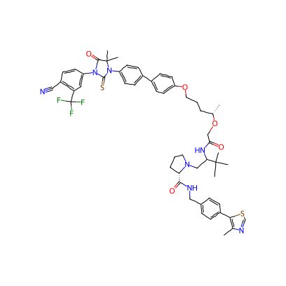 Cc1ncsc1-c1ccc(CNC(=O)[C@@H]2CCCN2CC(NC(=O)CO[C@@H](C)CCCOc2ccc(-c3ccc(N4C(=S)N(c5ccc(C#N)c(C(F)(F)F)c5)C(=O)C4(C)C)cc3)cc2)C(C)(C)C)cc1